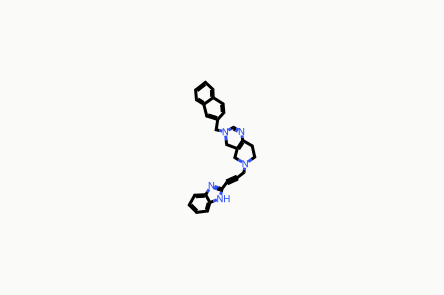 C(#Cc1nc2ccccc2[nH]1)CN1CCC2=C(CN(Cc3ccc4ccccc4c3)C=N2)C1